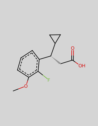 COc1cccc([C@@H](CC(=O)O)C2CC2)c1F